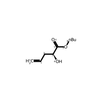 C=CC[C@H](O)C(=O)OCCCC